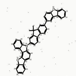 CC1(C)c2cc(-c3ccc4oc5ccccc5c4c3)ccc2-c2ccc(-n3c4ccccc4c4c5oc6ccccc6c5ccc43)cc21